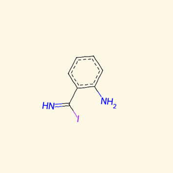 N=C(I)c1ccccc1N